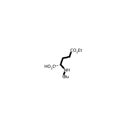 CCOC(=O)CC[C@H](NC(C)(C)C)C(=O)O